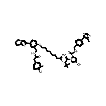 Cc1ncsc1-c1ccc(CNC(=O)[C@@H]2C[C@@H](O)CN2C(=O)[C@@H](NC(=O)CCCCCCCOc2ccc(-c3cn4c(n3)CCC4)cc2CNC(=O)Cc2ccc(Cl)c(Cl)c2)C(C)(C)C)cc1